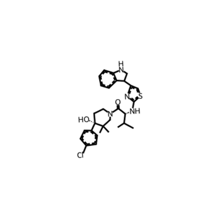 CC(C)[C@@H](Nc1nc(C2CNc3ccccc32)cs1)C(=O)N1CC[C@](O)(c2ccc(Cl)cc2)C(C)(C)C1